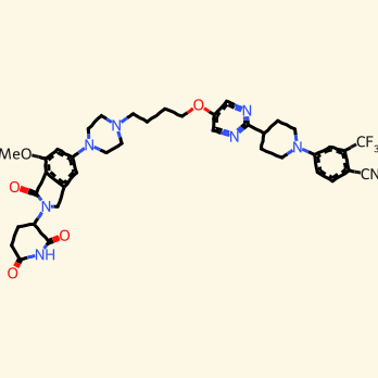 COc1cc(N2CCN(CCCCOc3cnc(C4CCN(c5ccc(C#N)c(C(F)(F)F)c5)CC4)nc3)CC2)cc2c1C(=O)N(C1CCC(=O)NC1=O)C2